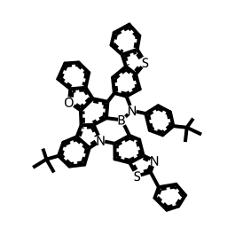 CC(C)(C)c1ccc(N2B3c4cc5nc(-c6ccccc6)sc5cc4-n4c5ccc(C(C)(C)C)cc5c5c6oc7ccccc7c6c(c3c54)-c3cc4c(cc32)sc2ccccc24)cc1